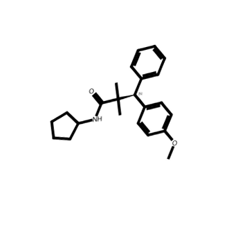 COc1ccc([C@H](c2ccccc2)C(C)(C)C(=O)NC2CCCC2)cc1